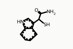 NC(=O)C(S)c1c[nH]c2ccccc12